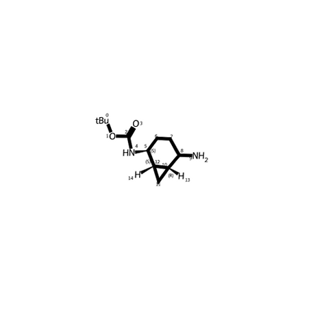 CC(C)(C)OC(=O)N[C@H]1CCC(N)[C@@H]2C[C@H]12